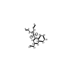 C=CCN(CC=C)S(=O)(=O)c1cc(C=C)cc2ccccc12